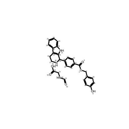 O=C(OCc1ccc(O)cc1)c1ccc(C2NCCc3c2[nH]c2ccccc32)cc1.O=CNCC(=O)O